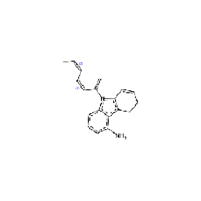 C=C(/C=C\C=C/C)n1c2c(c3c(N)cccc31)CCC=C2